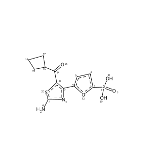 Nc1nc(-c2ccc(P(=O)(O)O)o2)c(C(=O)C2CCC2)s1